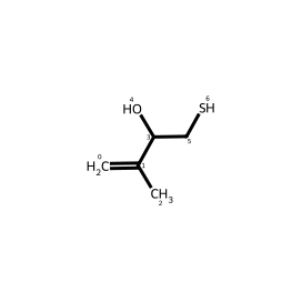 C=C(C)C(O)CS